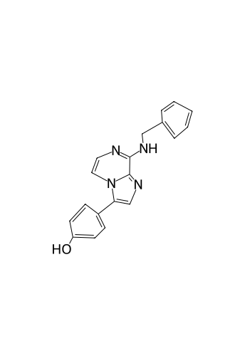 Oc1ccc(-c2cnc3c(NCc4ccccc4)nccn23)cc1